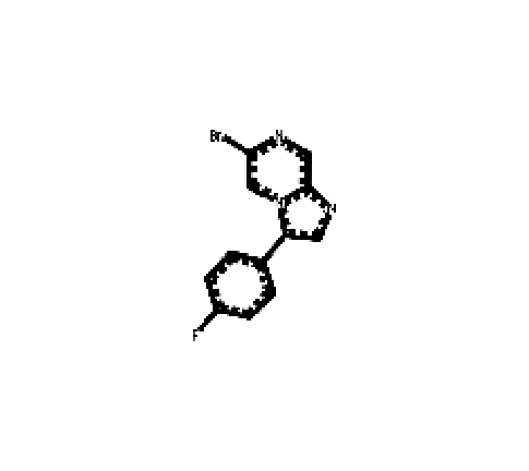 Fc1ccc(-c2cnc3cnc(Br)cn23)cc1